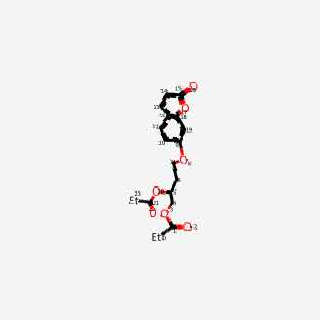 CCC(=O)OCC(CCOc1ccc2ccc(=O)oc2c1)OC(=O)CC